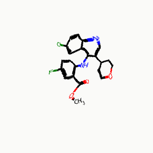 COC(=O)c1cc(F)ccc1Nc1c(C2CCOCC2)cnc2ccc(Cl)cc12